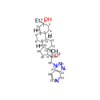 CC[C@@]1(O)CCC2[C@@H](CCC3[C@@H]2CC[C@]2(C)[C@@H](C(=O)Cn4nnc5cnccc54)CC[C@@H]32)C1